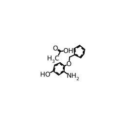 CC(=O)O.Nc1cc(O)ccc1OCc1ccccc1